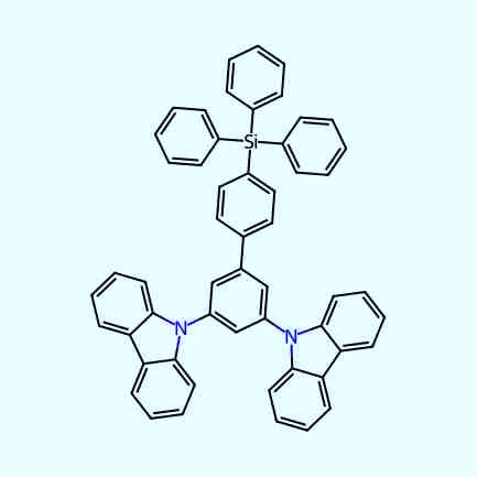 c1ccc([Si](c2ccccc2)(c2ccccc2)c2ccc(-c3cc(-n4c5ccccc5c5ccccc54)cc(-n4c5ccccc5c5ccccc54)c3)cc2)cc1